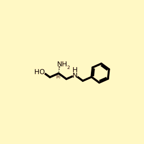 N[C@@H](CO)CNCc1ccccc1